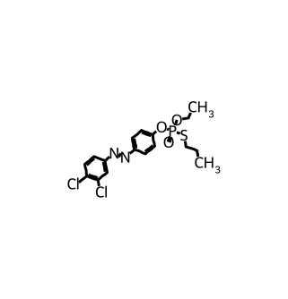 CCCSP(=O)(OCC)Oc1ccc(N=Nc2ccc(Cl)c(Cl)c2)cc1